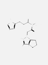 CC(CCc1ccco1)N(C)C(=O)Cn1nc(C(F)(F)F)c2c1CCC2